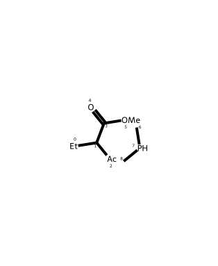 CCC(C(C)=O)C(=O)OC.CPC